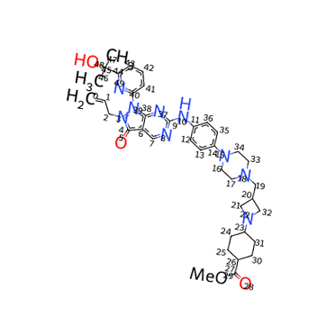 C=CCn1c(=O)c2cnc(Nc3ccc(N4CCN(CC5CN(C6CCC(C(=O)OC)CC6)C5)CC4)cc3)nc2n1-c1cccc(C(C)(C)O)n1